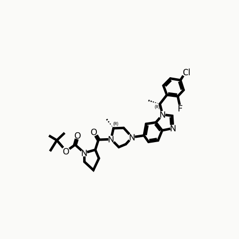 C[C@@H]1CN(c2ccc3ncn([C@H](C)c4ccc(Cl)cc4F)c3c2)CCN1C(=O)C1CCCN1C(=O)OC(C)(C)C